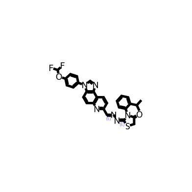 CC(C)c1ccccc1N1C(=O)CS/C1=N/N=C/c1ccc2c(ccc3c2ncn3-c2ccc(OC(F)F)cc2)n1